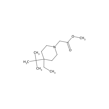 CCC1(C(C)(C)C)CCN(CC(=O)OC)CC1